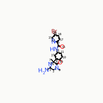 CN1CC(N)=NC(C)(c2cccc(NC(=O)c3ccc(Br)cn3)c2)C1=O